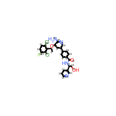 CC(Oc1cc(-c2ccc(C(=O)NC(CO)c3cccnc3)cc2)cnc1N)c1c(Cl)ccc(F)c1Cl